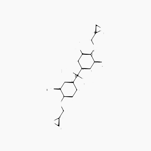 CCCC1CC(C(C)(C)C2CC(CC)C(OCC3CO3)C(CC)C2)CCC1OCC1CO1